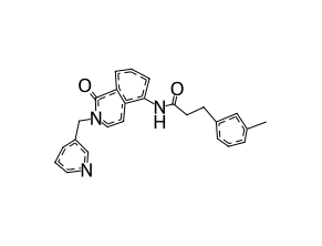 Cc1cccc(CCC(=O)Nc2cccc3c(=O)n(Cc4cccnc4)ccc23)c1